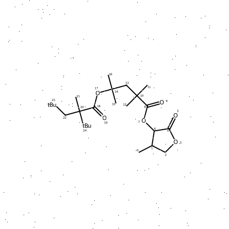 CC1COC(=O)C1OC(=O)C(C)(C)CC(C)(C)OC(=O)C(C)(CC(C)(C)C)C(C)(C)C